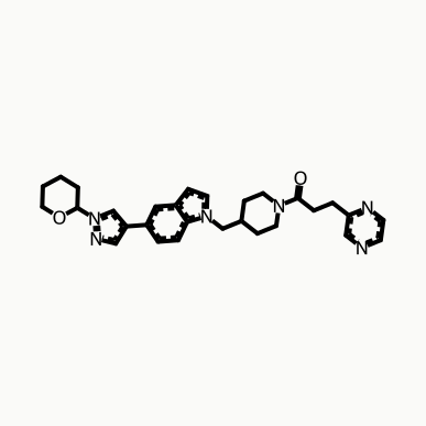 O=C(CCc1cnccn1)N1CCC(Cn2ccc3cc(-c4cnn(C5CCCCO5)c4)ccc32)CC1